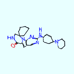 O=C1NCC2(CCCCC2)n2c1cc1cnc(NC3CCC(N4CCCCC4)CC3)nc12